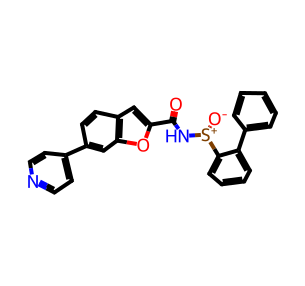 O=C(N[S+]([O-])c1ccccc1-c1ccccc1)c1cc2ccc(-c3ccncc3)cc2o1